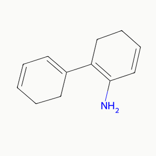 NC1=C(C2=CC=CCC2)CCC=C1